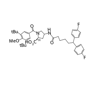 COc1c(C(C)(C)C)cc(C(=O)N2CC(NC(=O)CCCCC(c3ccc(F)cc3)c3ccc(F)cc3)C[C@H]2C(=O)O)cc1C(C)(C)C